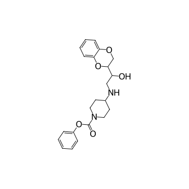 O=C(Oc1ccccc1)N1CCC(NCC(O)C2COc3ccccc3O2)CC1